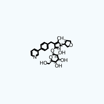 Cc1c(Cc2ccc(-c3cccnc3)cc2)c(O[C@@H]2O[C@H](CO)[C@@H](O)[C@H](O)[C@H]2O)nn1C1CCOC1